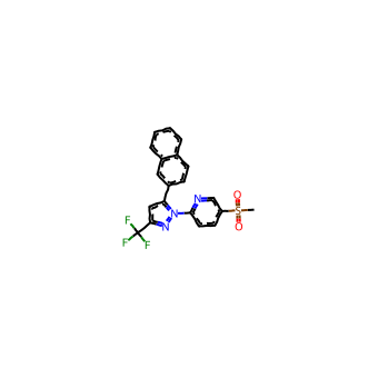 CS(=O)(=O)c1ccc(-n2nc(C(F)(F)F)cc2-c2ccc3ccccc3c2)nc1